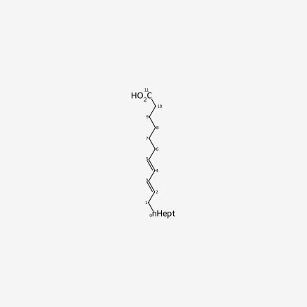 CCCCCCCCC=CC=CCCCCCC(=O)O